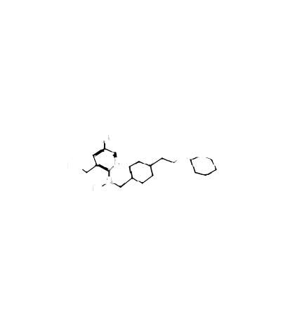 CCN(CC1CCC(CCO[C@H]2CCCCO2)CC1)c1ncc(C(F)(F)F)cc1CO